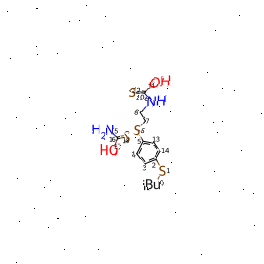 CCC(C)Sc1ccc(SCCNC(O)=S)cc1.NC(O)=S